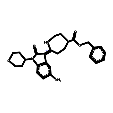 Nc1ccc2c(c1)/C(=C1\CCN(C(=O)OCc3ccccc3)CCN1)C(=O)N2C1CCOCC1